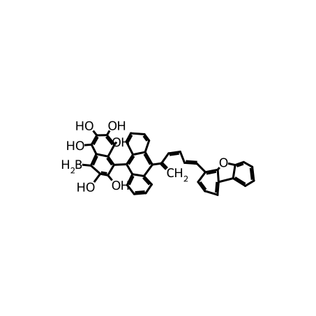 Bc1c(O)c(O)c(-c2c3ccccc3c(C(=C)/C=C\C=C\c3cccc4c3oc3ccccc34)c3ccccc23)c2c(O)c(O)c(O)c(O)c12